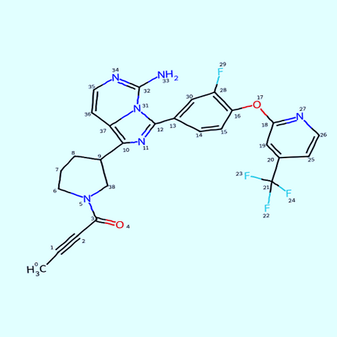 CC#CC(=O)N1CCCC(c2nc(-c3ccc(Oc4cc(C(F)(F)F)ccn4)c(F)c3)n3c(N)nccc23)C1